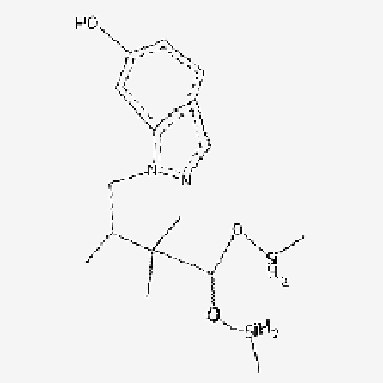 C[SiH2]OC(O[SiH2]C)C(C)(C)C(C)Cn1ncc2ccc(O)cc21